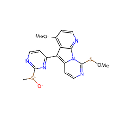 COSc1nccc2c(-c3ccnc([S+](C)[O-])n3)c3c(OC)ccnc3n12